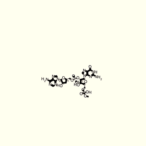 COP(=O)(O)OC[C@H]1O[C@@H](n2cnc3c(=O)[nH]c(N)nc32)[C@@H](OP(=O)(O)OC[C@@H]2C[C@H](O)[C@H](n3cnc4c(N)ncnc43)O2)C1O